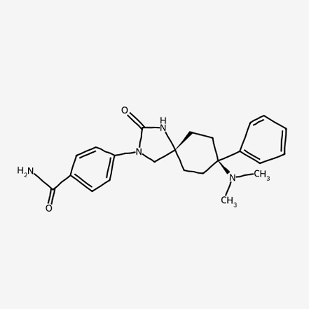 CN(C)[C@]1(c2ccccc2)CC[C@@]2(CC1)CN(c1ccc(C(N)=O)cc1)C(=O)N2